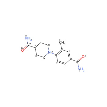 Cc1cc(C(N)=O)ccc1N1CCC(C(N)=O)CC1